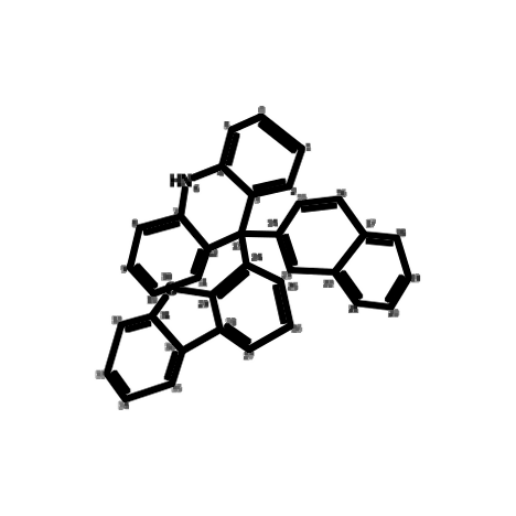 c1ccc2c(c1)Nc1ccccc1C2(c1ccc2ccccc2c1)c1cccc2c1oc1ccccc12